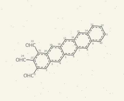 O=Cc1cc2cc3cc4cc5ccccc5cc4cc3cc2c(C=O)c1C=O